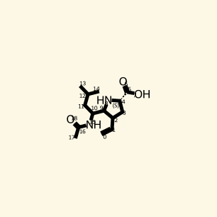 C=CC1C[C@@H](C(=O)O)NC1C(CC(C)C)NC(C)=O